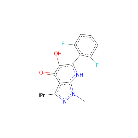 CC(C)c1nn(C)c2[nH]c(-c3c(F)cccc3F)c(O)c(=O)c12